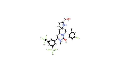 Cc1cc(F)ccc1[C@H]1C[C@]2(CC[C@H](CO)N2)CCN1C(=O)N(C)C(C)c1cc(C(F)(F)F)cc(C(F)(F)F)c1